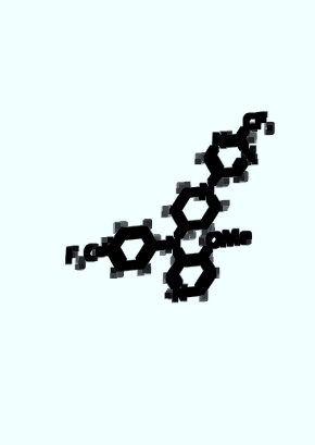 COc1ccncc1N(c1ccc(C(F)(F)F)cc1)C1CCN(c2cnc(C(F)(F)F)nc2)CC1